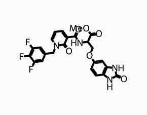 COC(=O)C(COc1ccc2[nH]c(=O)[nH]c2c1)NC(=O)c1cccn(Cc2cc(F)c(F)c(F)c2)c1=O